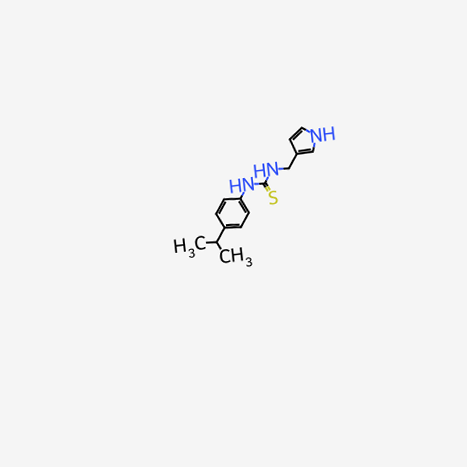 CC(C)c1ccc(NC(=S)NCc2cc[nH]c2)cc1